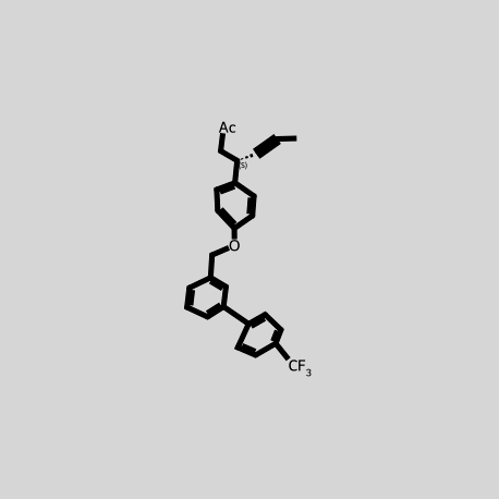 CC#C[C@@H](CC(C)=O)c1ccc(OCc2cccc(-c3ccc(C(F)(F)F)cc3)c2)cc1